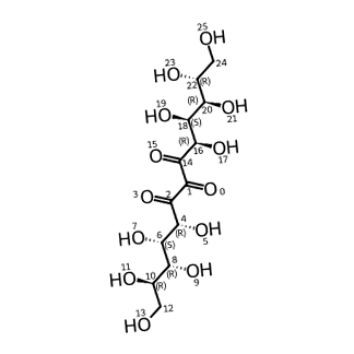 O=C(C(=O)[C@H](O)[C@@H](O)[C@H](O)[C@H](O)CO)C(=O)[C@H](O)[C@@H](O)[C@H](O)[C@H](O)CO